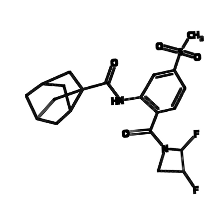 CS(=O)(=O)c1ccc(C(=O)N2CC(F)C2F)c(NC(=O)C23CC4CC(CC2C4)C3)c1